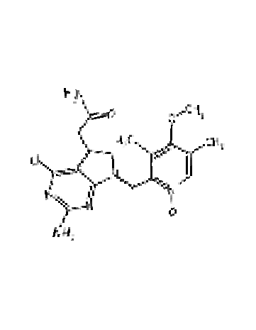 COc1c(C)c[n+]([O-])c(CN2CC(CC(N)=O)c3c(Cl)nc(N)nc32)c1C